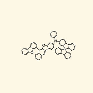 c1ccc(N(c2ccc3c(c2)C2(c4ccccc4-c4ccccc42)c2ccccc2-3)c2ccc3c(c2)oc2c(-c4cccc5c4oc4ccccc45)c4ccccc4cc23)cc1